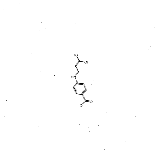 O=[N+]([O-])c1ccc(NCCC(O)O)cc1